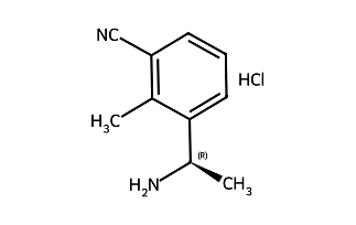 Cc1c(C#N)cccc1[C@@H](C)N.Cl